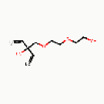 C=CC(O)(C=C)COCCOCCO